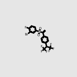 C=C(c1ccc([C](C(F)(F)F)C(F)(F)F)cc1)S(=O)(=O)c1ccc(F)c(Br)c1